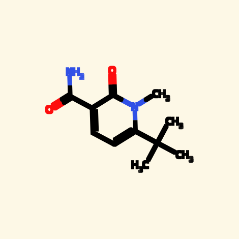 Cn1c(C(C)(C)C)ccc(C(N)=O)c1=O